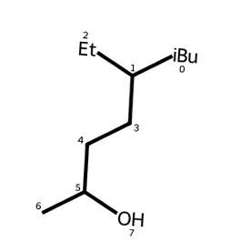 CCC(C)C(CC)CCC(C)O